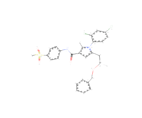 Cc1c(C(=O)Nc2ccc(S(C)(=O)=O)cc2)cc(C[C@H](C)OCc2ccccc2)n1-c1ccc(Cl)cc1Cl